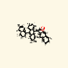 c1ccc2cc3c(-c4c5ccccc5c(-c5cccc6ccccc56)c5ccccc45)coc3cc2c1